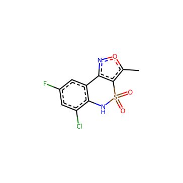 Cc1onc2c1S(=O)(=O)Nc1c(Cl)cc(F)cc1-2